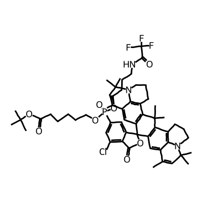 CC1=CC(C)(C)N2CCCc3c2c1cc1c3C(C)(C)c2c(cc3c4c2CCCN4C(C)(C)C=C3C)C12OC(=O)c1c(Cl)cc(P(=O)(OCCCCCC(=O)OC(C)(C)C)OCCCCNC(=O)C(F)(F)F)cc12